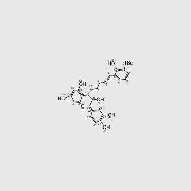 CC(C)(C)c1cccc(C=NCCS[C@H]2c3c(O)cc(O)cc3O[C@H](c3ccc(O)c(O)c3)[C@@H]2O)c1O